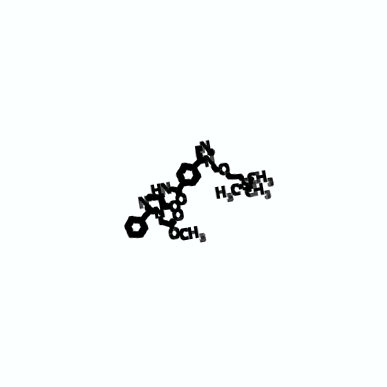 COC(=O)Cn1c(-c2ccccc2)ncc(NC(=O)c2ccc(-c3cncn3COCC[Si](C)(C)C)cc2)c1=O